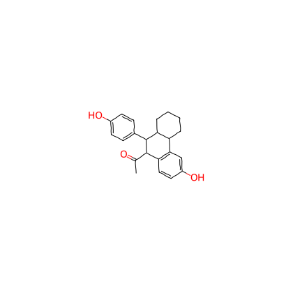 CC(=O)C1c2ccc(O)cc2C2CCCCC2C1c1ccc(O)cc1